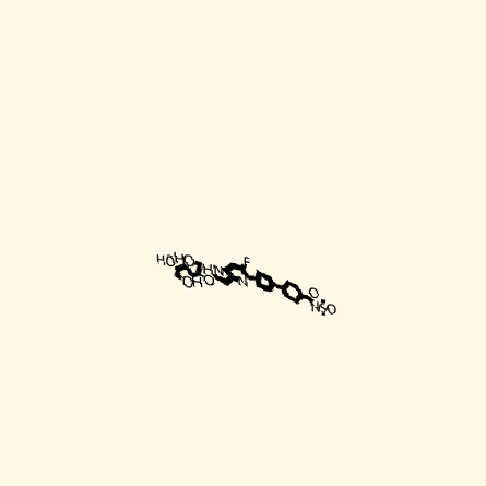 CS(C)(=O)=NC(=O)C1CC=C(c2ccc(-c3nc4cc(O[C@@H]5CO[C@H]6[C@@H]5OC[C@H]6O)[nH]c4cc3F)cc2)CC1